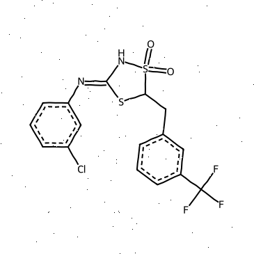 O=S1(=O)NC(=Nc2cccc(Cl)c2)SC1Cc1cccc(C(F)(F)F)c1